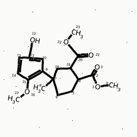 COC(=O)C1CCC(C)(c2cc(O)ccc2OC)CC1C(=O)OC